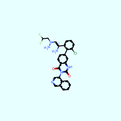 N/C(=C\N(N)CC(F)F)c1cccc(Cl)c1-c1ccc2c(=O)n(-c3cncc4ccccc34)c(=O)[nH]c2c1